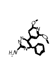 COc1cc(-c2nnc(N)nc2-c2ccccc2)cc(OC)n1